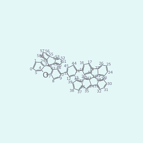 c1ccc2c(c1)Oc1ccc(-c3ccc(-c4ccc5c(c4)C4(c6ccccc6-5)c5ccccc5-c5cc6ccccc6cc54)cc3)cc1C21c2ccccc2-c2ccccc21